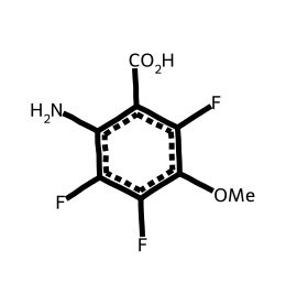 COc1c(F)c(F)c(N)c(C(=O)O)c1F